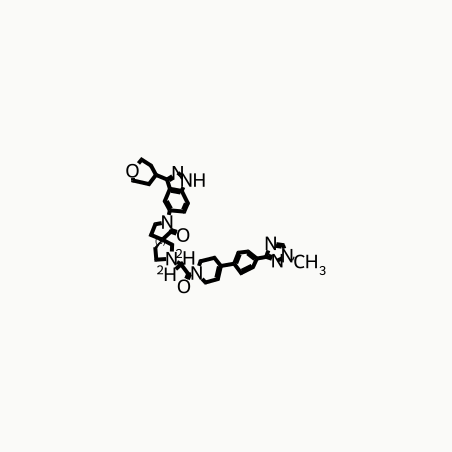 [2H]C([2H])(C(=O)N1CC=C(c2ccc(-c3ncn(C)n3)cc2)CC1)N1CC[C@]2(CCN(c3ccc4[nH]nc(C5CCOCC5)c4c3)C2=O)C1